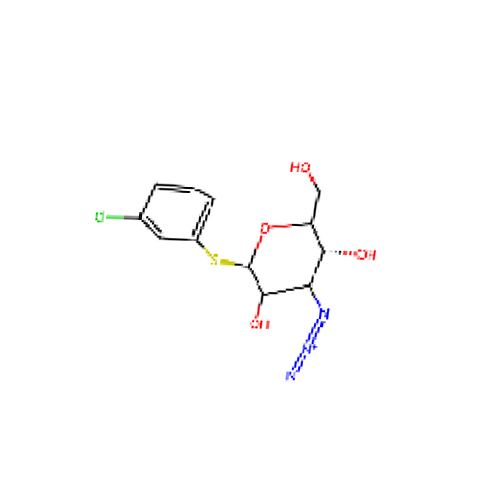 [N-]=[N+]=NC1C(O)[C@@H](Sc2cccc(Cl)c2)OC(CO)[C@@H]1O